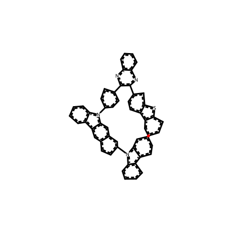 c1ccc2nc(-c3ccc4c(c3)sc3ccccc34)c(-c3ccc(-n4c5ccccc5c5cc6ccc(-n7c8ccccc8c8ccccc87)cc6cc54)cc3)nc2c1